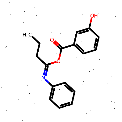 CCCC(=Nc1ccccc1)OC(=O)c1cccc(O)c1